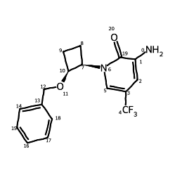 Nc1cc(C(F)(F)F)cn([C@@H]2CC[C@@H]2OCc2ccccc2)c1=O